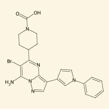 Nc1c(Br)c(C2CCN(C(=O)O)CC2)nc2c(-c3ccn(-c4ccccc4)c3)cnn12